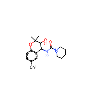 CC1(C)Oc2ccc(C#N)cc2C(NC(=O)N2CCCCC2)C1O